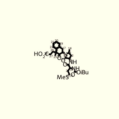 CSCCC(NC(=O)OCC(C)C)C(=O)NC1CC(C)N(C2Cc3ccccc3C(C)(CCC(=O)O)C2=O)C1=O